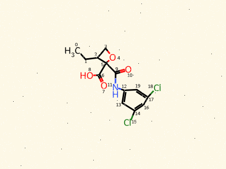 CCC1COC1(C(=O)O)C(=O)Nc1cc(Cl)cc(Cl)c1